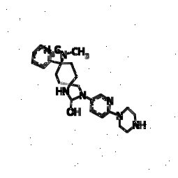 CN(C)[C@]1(c2ccccc2)CC[C@]2(CC1)CN(c1ccc(N3CCNCC3)nc1)C(O)N2